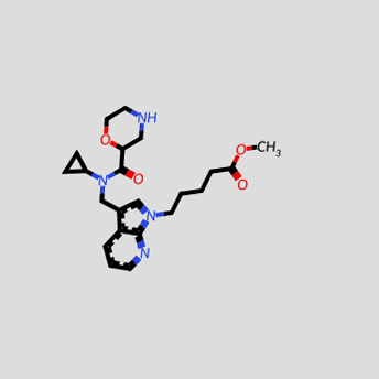 COC(=O)CCCCn1cc(CN(C(=O)C2CNCCO2)C2CC2)c2cccnc21